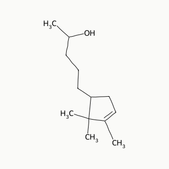 CC1=CCC(CCCC(C)O)C1(C)C